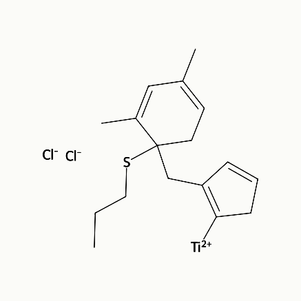 CCCSC1(CC2=[C]([Ti+2])CC=C2)CC=C(C)C=C1C.[Cl-].[Cl-]